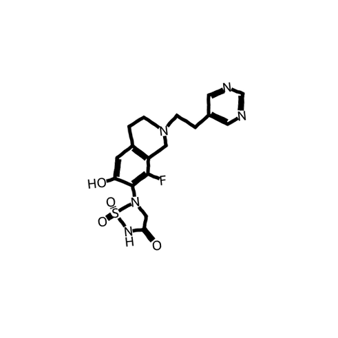 O=C1CN(c2c(O)cc3c(c2F)CN(CCc2cncnc2)CC3)S(=O)(=O)N1